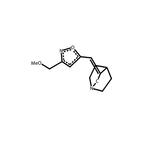 COCc1cc(/C=C2\CN3CCC2CC3)on1